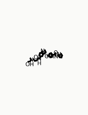 CN(C/C=C\C(=O)Nc1ccc2nccc(Oc3ccc(C(=O)Nc4ccccn4)cc3)c2c1)CCO